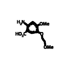 COCCOc1cc(C(=O)O)c(N)cc1OC